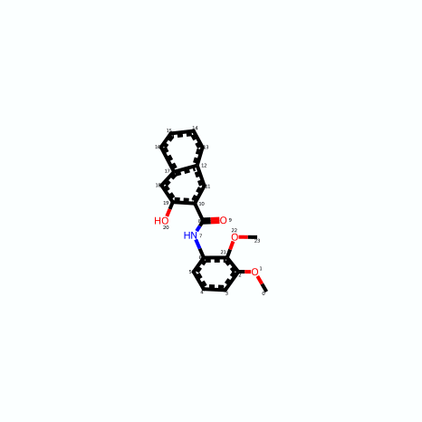 COc1cccc(NC(=O)c2cc3ccccc3cc2O)c1OC